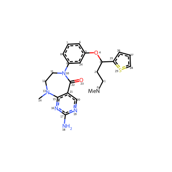 CNCCC(Oc1cccc(N2CCN(C)c3nc(N)ncc3C2=O)c1)c1cccs1